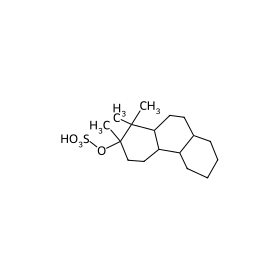 CC1(OS(=O)(=O)O)CCC2C3CCCCC3CCC2C1(C)C